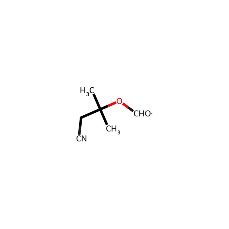 CC(C)(CC#N)O[C]=O